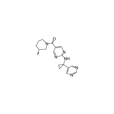 C[C@H]1CCCN(C(=O)c2cnc(NC3(c4cncnc4)CC3)nc2)C1